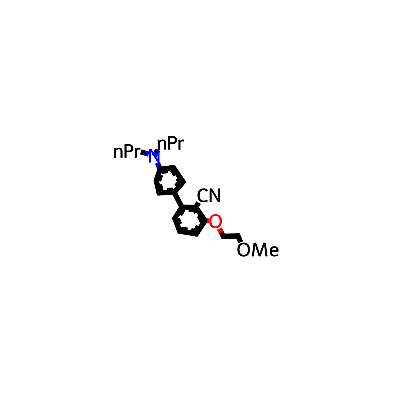 CCCN(CCC)c1ccc(-c2cccc(OCCOC)c2C#N)cc1